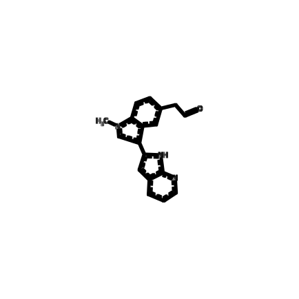 Cn1cc(-c2cc3cccnc3[nH]2)c2cc(CC=O)ccc21